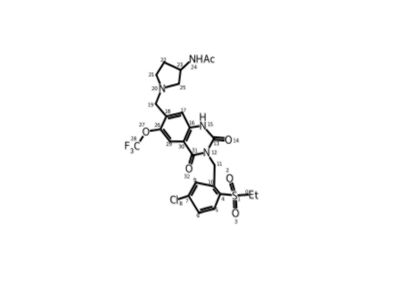 CCS(=O)(=O)c1ccc(Cl)cc1Cn1c(=O)[nH]c2cc(CN3CCC(NC(C)=O)C3)c(OC(F)(F)F)cc2c1=O